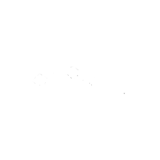 OCCCCN1CCC1(CCCCO)c1cccc(OCc2ccccc2)c1